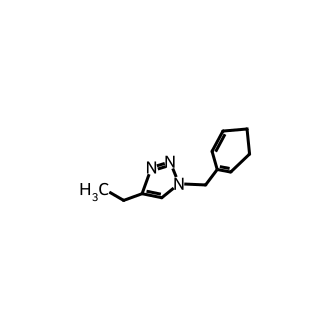 CCc1cn(CC2=CCCC=C2)nn1